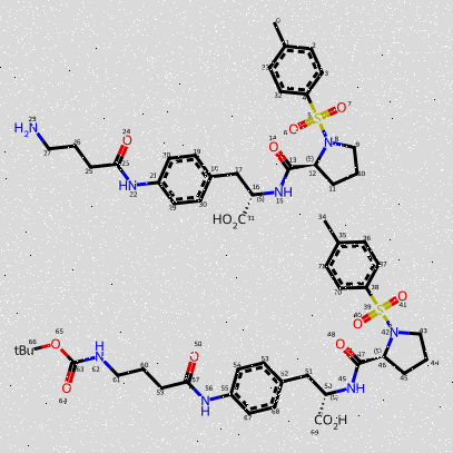 Cc1ccc(S(=O)(=O)N2CCC[C@H]2C(=O)N[C@@H](Cc2ccc(NC(=O)CCCN)cc2)C(=O)O)cc1.Cc1ccc(S(=O)(=O)N2CCC[C@H]2C(=O)N[C@@H](Cc2ccc(NC(=O)CCCNC(=O)OC(C)(C)C)cc2)C(=O)O)cc1